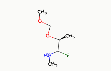 CNC(F)[C@H](C)OCOC